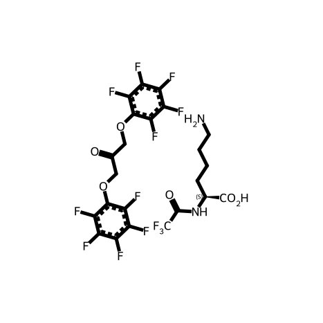 NCCCC[C@H](NC(=O)C(F)(F)F)C(=O)O.O=C(COc1c(F)c(F)c(F)c(F)c1F)COc1c(F)c(F)c(F)c(F)c1F